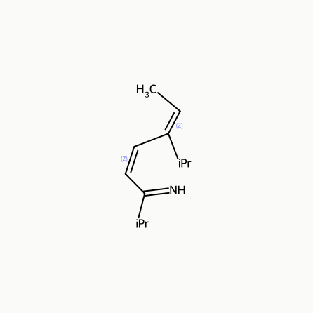 C/C=C(\C=C/C(=N)C(C)C)C(C)C